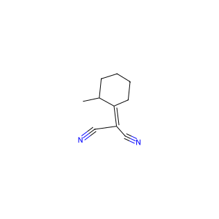 CC1CCCCC1=C(C#N)C#N